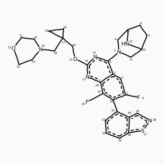 Fc1cc2c(N3CC4CCC(C3)N4)nc(OCC3(CN4CCOCC4)CC3)nc2c(F)c1-c1cccc2sncc12